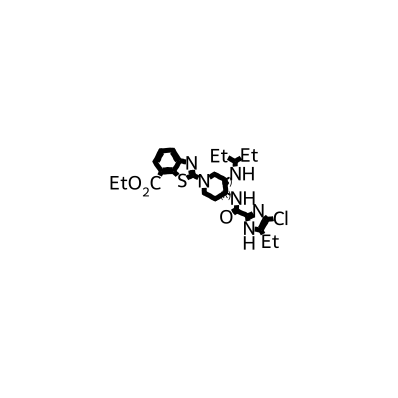 CCOC(=O)c1cccc2nc(N3CC[C@@H](NC(=O)c4nc(Cl)c(CC)[nH]4)[C@@H](NC(CC)CC)C3)sc12